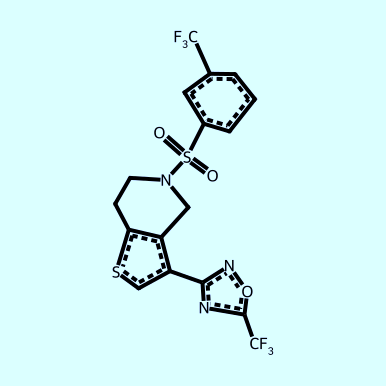 O=S(=O)(c1cccc(C(F)(F)F)c1)N1CCc2scc(-c3noc(C(F)(F)F)n3)c2C1